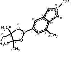 Cc1nc(B2OC(C)(C)C(C)(C)O2)cc2cn(C)nc12